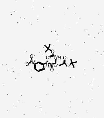 CC(C)(C)OC(=O)C[C@@H](NC(=O)OC(C)(C)C)C(=O)Nc1cccc([N+](=O)[O-])c1